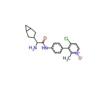 Cc1c(-c2ccc(NC(=O)C(N)C3CC4CC4C3)cc2)c(Cl)cc[n+]1[O-]